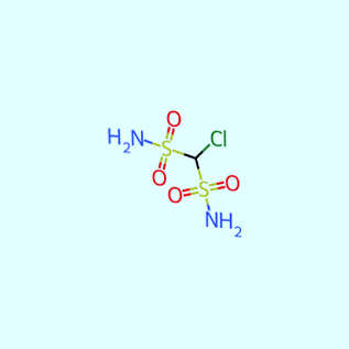 NS(=O)(=O)C(Cl)S(N)(=O)=O